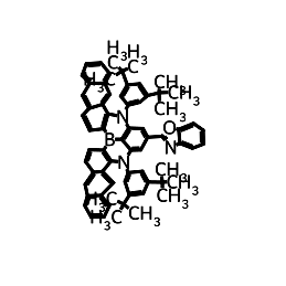 CC(C)(C)c1cc(N2c3cc(-c4nc5ccccc5o4)cc4c3B(c3ccc5cc6ccccc6cc5c32)c2ccc3cc5ccccc5cc3c2N4c2cc(C(C)(C)C)cc(C(C)(C)C)c2)cc(C(C)(C)C)c1